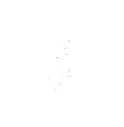 COc1ccc2c(C(=O)/C=C/N(C)C)cnn2n1